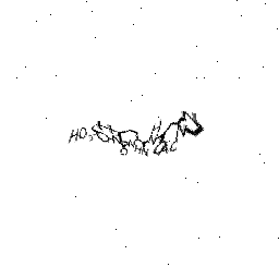 CC(=O)n1ccnc1CC(=O)NC(=N)[C@@H]1CC[C@@H]2CN1C(=O)N2OS(=O)(=O)O